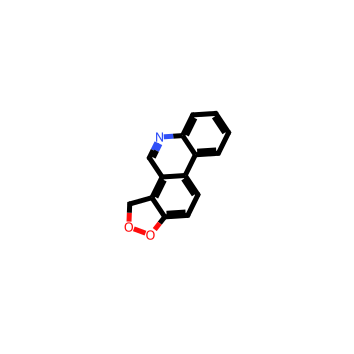 c1ccc2c(c1)ncc1c3c(ccc12)OOC3